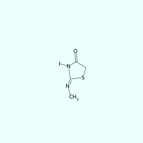 C/N=C1\SCC(=O)N1I